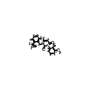 COc1cccc(-n2c(=O)cc(C)n(Cc3c(F)cccc3C(F)(F)F)c2=O)c1F